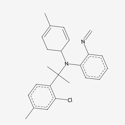 C=Nc1ccccc1N(C1C=CC(C)=CC1)C(C)(C)c1ccc(C)cc1Cl